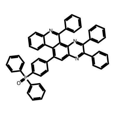 O=P(c1ccccc1)(c1ccccc1)c1ccc(-c2cc3nc(-c4ccccc4)c(-c4ccccc4)nc3c3c(-c4ccccc4)nc4ccccc4c23)cc1